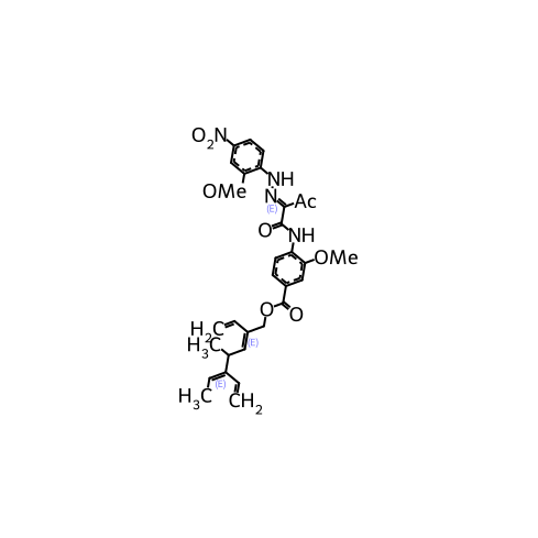 C=C/C(=C\C(C)/C(C=C)=C/C)COC(=O)c1ccc(NC(=O)/C(=N/Nc2ccc([N+](=O)[O-])cc2OC)C(C)=O)c(OC)c1